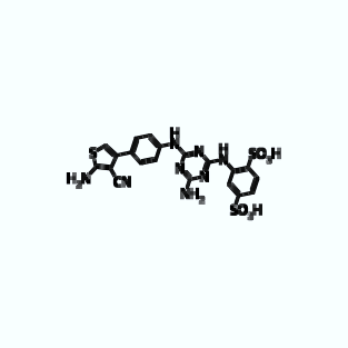 N#Cc1c(-c2ccc(Nc3nc(N)nc(Nc4cc(S(=O)(=O)O)ccc4S(=O)(=O)O)n3)cc2)csc1N